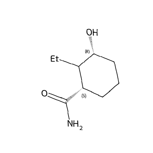 CCC1[C@H](O)CCC[C@@H]1C(N)=O